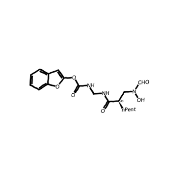 CCCCC[C@H](CN(O)C=O)C(=O)NCNC(=O)Oc1cc2ccccc2o1